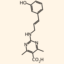 Cc1nc(NC/C=C/c2cccc(O)c2)nc(C)c1C(=O)O